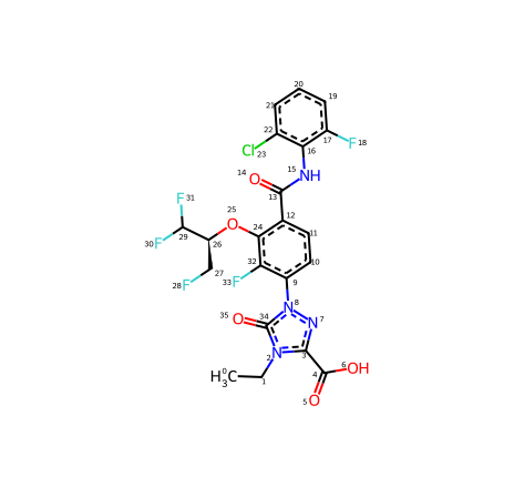 CCn1c(C(=O)O)nn(-c2ccc(C(=O)Nc3c(F)cccc3Cl)c(O[C@@H](CF)C(F)F)c2F)c1=O